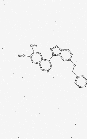 COc1cc2nncc(-n3ncc4ccc(OCc5ccccc5)cc43)c2cc1OC